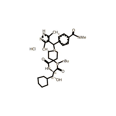 CCCCN1C(=O)[C@@H]([C@H](O)C2CCCCC2)NC(=O)C12CCN(C(c1ccc(C(=O)NC)cc1)c1c(C)n[nH]c1C)CC2.Cl